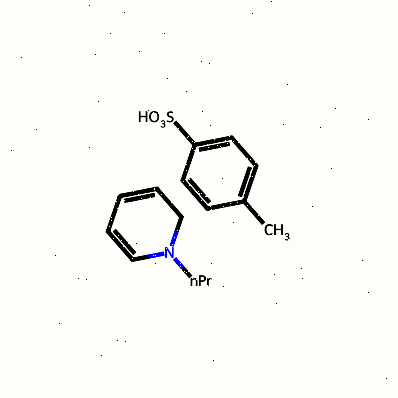 CCCN1C=CC=CC1.Cc1ccc(S(=O)(=O)O)cc1